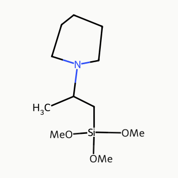 CO[Si](CC(C)N1CCCCC1)(OC)OC